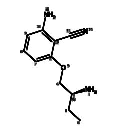 CC[C@H](N)COc1cccc(N)c1C#N